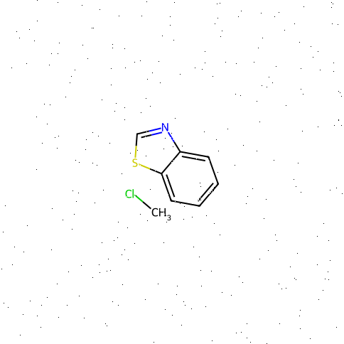 CCl.c1ccc2scnc2c1